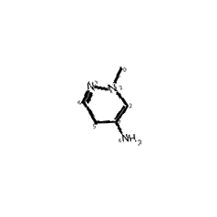 CN1C=C(N)CC=N1